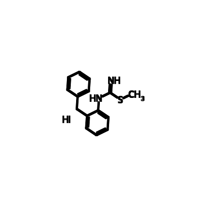 CSC(=N)Nc1ccccc1Cc1ccccc1.I